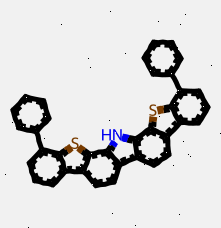 c1ccc(-c2cccc3c2sc2c3ccc3c4ccc5c6cccc(-c7ccccc7)c6sc5c4[nH]c32)cc1